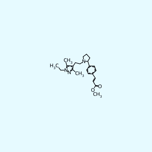 CCn1nc(C)c(CCN2CCCC2c2ccc(/C=C/C(=O)OC)cc2)c1C